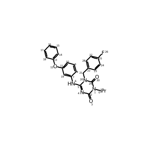 CC(C)n1c(=O)nc(Nc2cccc(Oc3ccccc3)c2)n(Cc2ccc(F)cc2)c1=O